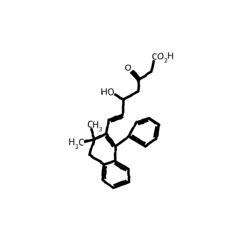 CC1(C)Cc2ccccc2C(c2ccccc2)=C1/C=C/C(O)CC(=O)CC(=O)O